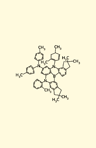 CC1=C(N2c3cc(N(c4ccc(C)cc4)c4ccc(C)cc4)cc4c3B(c3cc5c(cc3N4c3ccccc3C)CC(C)(C)C5)c3ccc4c(c32)CC(C)(C)C4)C=CC(C)C1